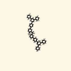 CC1(C)c2cc(-c3ccc(-c4cc(-c5ccccc5)cc(-c5ccccc5)n4)cc3)ccc2Oc2ccc(-c3ccc(-c4cc(-c5ccccc5)cc(-c5ccccc5)n4)cc3)cc21